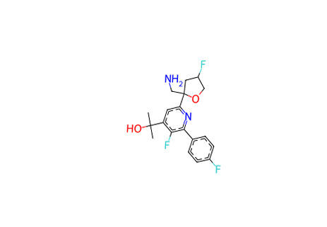 CC(C)(O)c1cc(C2(CN)CC(F)CO2)nc(-c2ccc(F)cc2)c1F